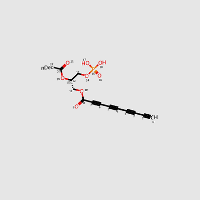 C#CC#CC#CC#CC(=O)OC[C@@H](COP(=O)(O)O)OC(=O)CCCCCCCCCC